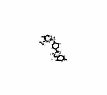 Cc1cnc(NC2CCC(C(=O)N[C@@H](C)c3ccc(F)cc3)CC2)nc1N(C)C